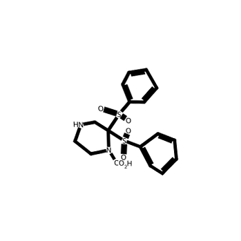 O=C(O)N1CCNCC1(S(=O)(=O)c1ccccc1)S(=O)(=O)c1ccccc1